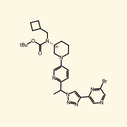 CC(c1ccc(N2CCC[C@@H](N(CC3CCC3)C(=O)OC(C)(C)C)C2)cn1)n1cc(-c2cncc(Br)n2)nn1